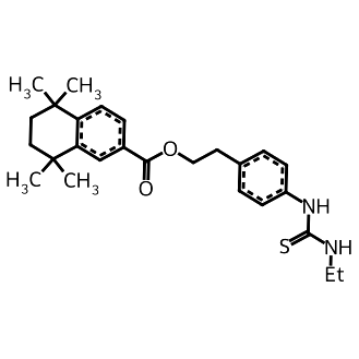 CCNC(=S)Nc1ccc(CCOC(=O)c2ccc3c(c2)C(C)(C)CCC3(C)C)cc1